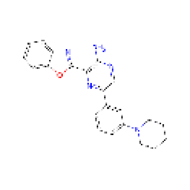 Nc1ncc(-c2cccc(N3CCCCC3)c2)nc1-c1nc2ccccc2o1